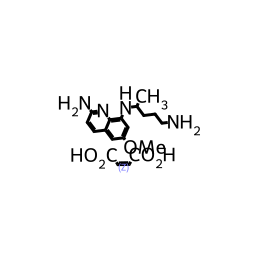 COc1cc(NC(C)CCCN)c2nc(N)ccc2c1.O=C(O)/C=C\C(=O)O